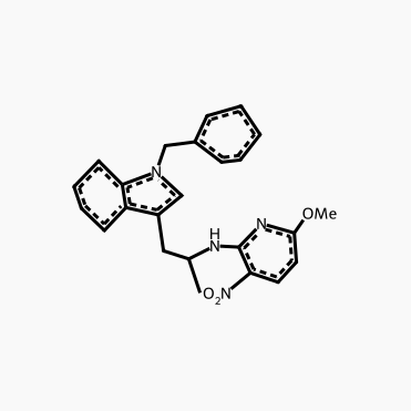 COc1ccc([N+](=O)[O-])c(NC(C)Cc2cn(Cc3ccccc3)c3ccccc23)n1